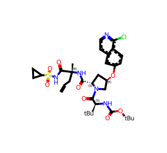 C=CC[C@@](C)(NC(=O)[C@@H]1C[C@@H](Oc2ccc3c(Cl)nccc3c2)CN1C(=O)[C@@H](NC(=O)OC(C)(C)C)C(C)(C)C)C(=O)NS(=O)(=O)C1CC1